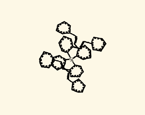 C(=Cc1ccccc1[Si](c1ccccc1C=Cc1ccccc1)(c1ccccc1C=Cc1ccccc1)c1ccccc1C=Cc1ccccc1)c1ccccc1